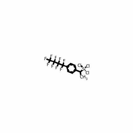 CC(c1ccc(C(F)(F)C(F)(F)C(F)(F)C(F)(F)F)cc1)[Si](Cl)(Cl)Cl